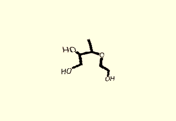 CC(OCCO)C(O)CO